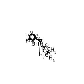 CC(C)(C)OC(=O)NC1CC1c1cccc(F)c1O